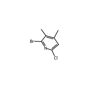 Cc1cc(Cl)nc(Br)c1C